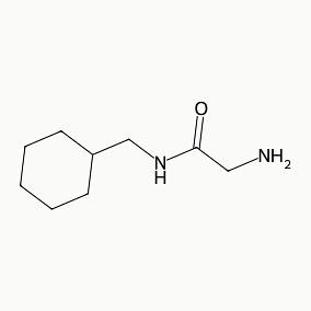 NCC(=O)NCC1CCCCC1